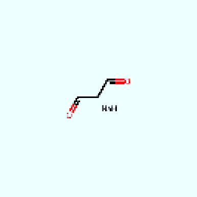 O=[C]CC=O.[NaH]